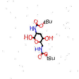 CC(C)(C)OC(=O)NCC1OC(O)C(NC(=O)OC(C)(C)C)CC1O